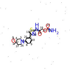 COC1(C)CCN(c2cccc(-c3csc(NC(=O)COC(N)=O)n3)c2)CC1